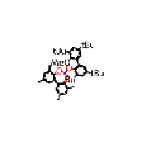 COc1c(-c2cc(C(C)(C)C)cc(C(C)(C)C)c2Op2oc3c(C)cc(C)cc3c3cc(C)cc(C)c3o2)cc(C(C)(C)C)cc1C(C)(C)C